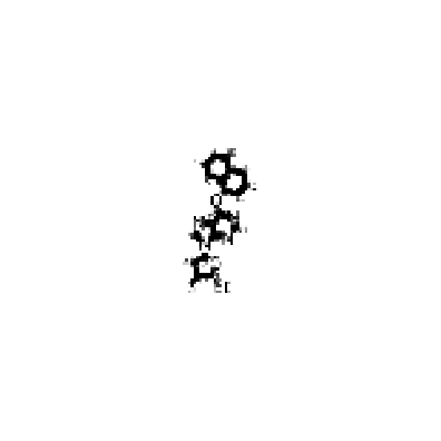 CC[C@H]1O[C@@H](n2cnc3c(Oc4cccc5ccccc45)ncnc32)CC1C